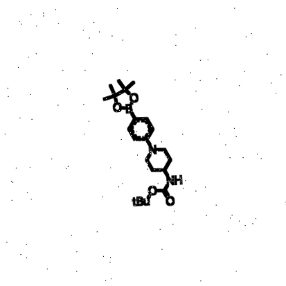 CC(C)(C)OC(=O)NC1CCN(c2ccc(B3OC(C)(C)C(C)(C)O3)cc2)CC1